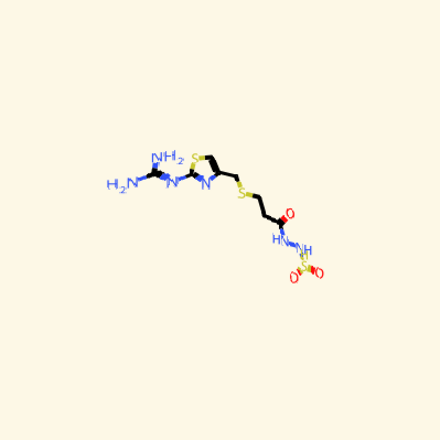 NC(N)=Nc1nc(CSCCC(=O)NN[SH](=O)=O)cs1